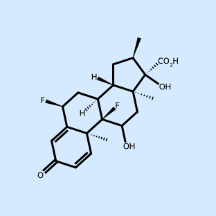 C[C@@H]1C[C@H]2[C@@H]3C[C@H](F)C4=CC(=O)C=C[C@]4(C)[C@@]3(F)C(O)C[C@]2(C)[C@@]1(O)C(=O)O